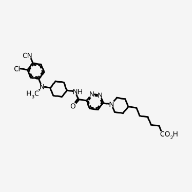 [C-]#[N+]c1ccc(N(C)C2CCC(NC(=O)c3ccc(N4CCC(CCCCCC(=O)O)CC4)nn3)CC2)cc1Cl